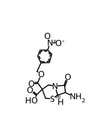 NC1C(=O)N2CC(C(=O)O)(C(=O)OCc3ccc([N+](=O)[O-])cc3)CS[C@H]12